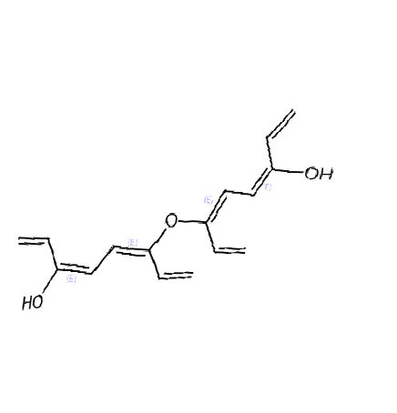 C=C/C(O)=C\C=C(/C=C)O/C(C=C)=C/C=C(/O)C=C